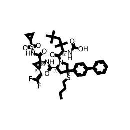 CCCCS[C@@]1(c2ccc(-c3ccccc3)cc2)C[C@@H](C(=O)N[C@]2(C(=O)NS(=O)(=O)C3CC3)C[C@@H]2C=C(F)F)N(C(=O)[C@@H](NC(=O)O)C(C)(C)CC(C)(C)C)C1